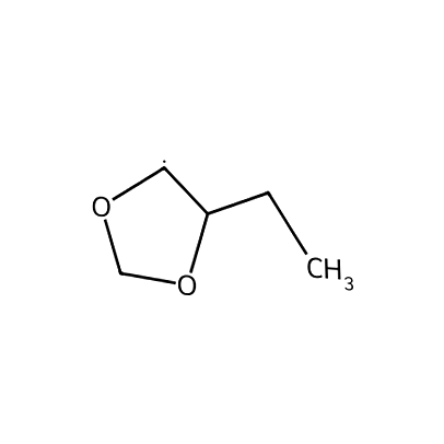 CCC1[CH]OCO1